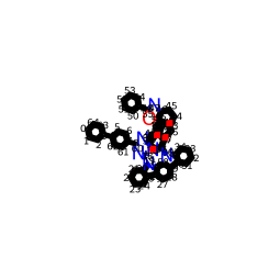 c1ccc(-c2ccc(-c3nc(-c4ccccc4)nc(-n4c5ccccc5c5ccc6c7ccccc7n(-c7cccc(-c8cccc9nc(-c%10ccccc%10)oc89)c7)c6c54)n3)cc2)cc1